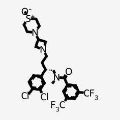 CN(C[C@@H](CCN1CC(N2CC[S+]([O-])CC2)C1)c1ccc(Cl)c(Cl)c1)C(=O)c1cc(C(F)(F)F)cc(C(F)(F)F)c1